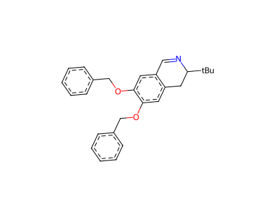 CC(C)(C)C1Cc2cc(OCc3ccccc3)c(OCc3ccccc3)cc2C=N1